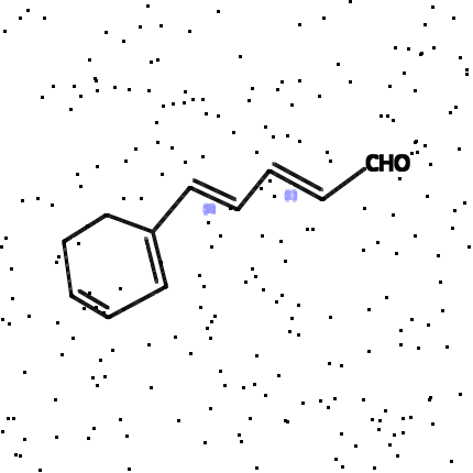 O=C/C=C/C=C/C1=CC=CCC1